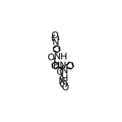 O=C(Nc1ccc(N2CCOCC2)cc1)c1cccc(C2(OCCN3CCOCC3)Nc3ccccc3N2)c1